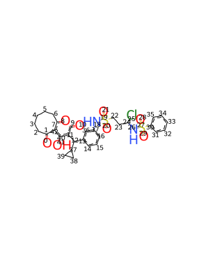 O=C1CCCCCc2oc(=O)c(C(c3cccc(NS(=O)(=O)CCC(Cl)NS(=O)(=O)c4ccccc4)c3)C3CC3)c(O)c21